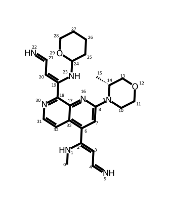 CN/C(=C\C=N)c1cc(N2CCOC[C@H]2C)nc2c(/C(=C/C=N)NC3CCCCO3)nccc12